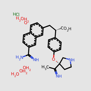 CC(=N)[C@]1(Oc2ccc([C@H](Cc3ccc4ccc(C(=N)N)cc4c3)C(=O)O)cc2)CCNC1.Cl.O.O.O.O.O